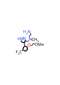 COCCOc1ccc(C(F)(F)F)cc1-c1c[nH]nc1CN(C)CCN